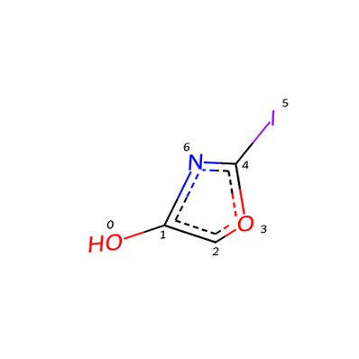 Oc1coc(I)n1